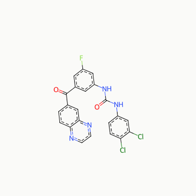 O=C(Nc1cc(F)cc(C(=O)c2ccc3nccnc3c2)c1)Nc1ccc(Cl)c(Cl)c1